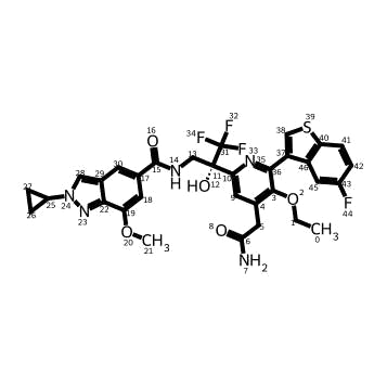 CCOc1c(CC(N)=O)cc([C@@](O)(CNC(=O)c2cc(OC)c3nn(C4CC4)cc3c2)C(F)(F)F)nc1-c1csc2ccc(F)cc12